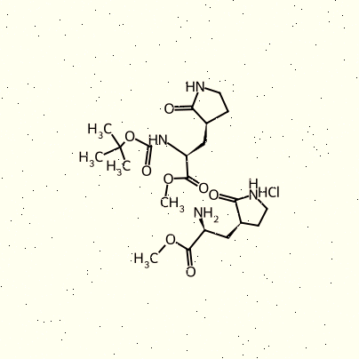 COC(=O)[C@@H](N)C[C@@H]1CCNC1=O.COC(=O)[C@H](C[C@@H]1CCNC1=O)NC(=O)OC(C)(C)C.Cl